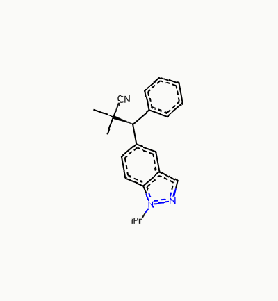 CC(C)n1ncc2cc([C@H](c3ccccc3)C(C)(C)C#N)ccc21